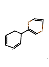 C1=CCC(C2=CSC=CS2)C=C1